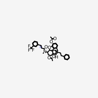 CC(=O)Oc1ccc2c3c1OC1C(N(C)C(=O)/C=C/c4cccc(C(F)(F)F)c4)CC[C@@]4(OC(C)=O)[C@@H](C2)N(CCc2ccccc2)CC[C@]314